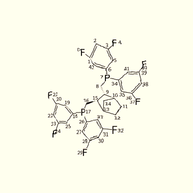 Fc1cc(F)cc(P(C[C@@H]2C3CCC(C3)[C@H]2CP(c2cc(F)cc(F)c2)c2cc(F)cc(F)c2)c2cc(F)cc(F)c2)c1